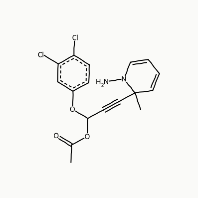 CC(=O)OC(C#CC1(C)C=CC=CN1N)Oc1ccc(Cl)c(Cl)c1